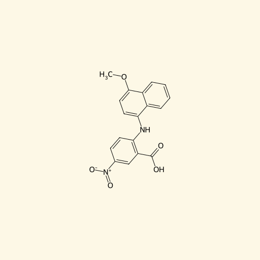 COc1ccc(Nc2ccc([N+](=O)[O-])cc2C(=O)O)c2ccccc12